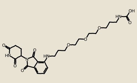 O=C(O)NCCCOCCOCCOCCCNc1cccc2c1C(=O)N(C1CCC(=O)NC1=O)C2=O